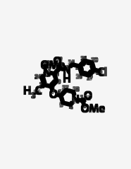 COC(=O)N1CCC(OC2=CC(C(=O)NCc3ccc(Cl)cc3)N(OC)C=C2C)CC1